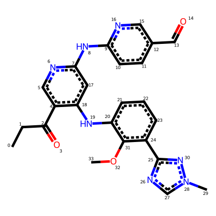 CCC(=O)c1cnc(Nc2ccc(C=O)cn2)cc1Nc1cccc(-c2ncn(C)n2)c1OC